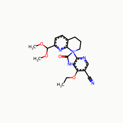 CCOc1cc([N+]2(C(N)=O)CCCc3ccc(C(OC)OC)nc32)ncc1C#N